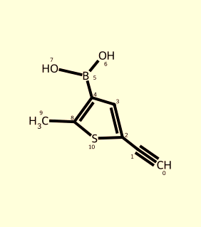 C#Cc1cc(B(O)O)c(C)s1